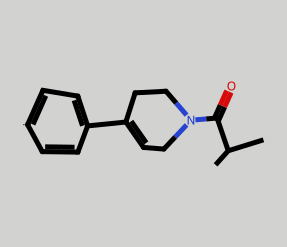 CC(C)C(=O)N1CC=C(c2cc[c]cc2)CC1